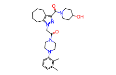 Cc1cccc(N2CCN(C(=O)Cn3nc(C(=O)N4CCC(O)CC4)c4c3CCCCC4)CC2)c1C